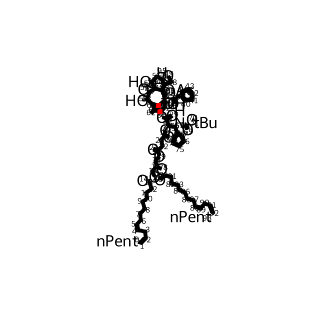 CCCCC/C=C\C/C=C\CCCCCCCC(=O)OCC(COC(=O)CCC(=O)O[C@@H](C(=O)O[C@H]1C[C@@]2(O)[C@@H](OC(=O)c3ccccc3)[C@@H]3[C@]4(OC(C)=O)CO[C@@H]4C[C@H](O)[C@@]3(C)C(=O)[C@H](O)C(=C1C)C2(C)C)[C@@H](NC(=O)OC(C)(C)C)c1ccccc1)OC(=O)CCCCCCC/C=C\C/C=C\CCCCC